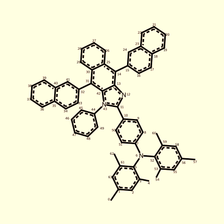 Cc1cc(C)c(N(c2ccc(-c3nc4c(-c5ccc6ccccc6c5)c5ccccc5c(-c5ccc6ccccc6c5)c4n3-c3ccccc3)cc2)c2c(C)cc(C)cc2C)c(C)c1